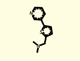 CN(C)Cc1ccc(-c2cccnc2)s1